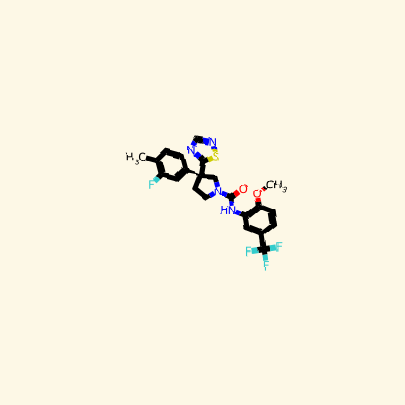 COc1ccc(C(F)(F)F)cc1NC(=O)N1CC[C@](c2ccc(C)c(F)c2)(c2ncns2)C1